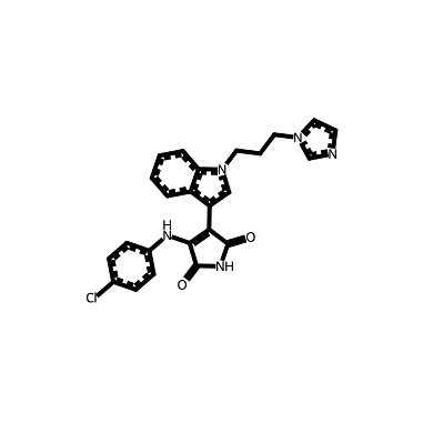 O=C1NC(=O)C(c2cn(CCCn3ccnc3)c3ccccc23)=C1Nc1ccc(Cl)cc1